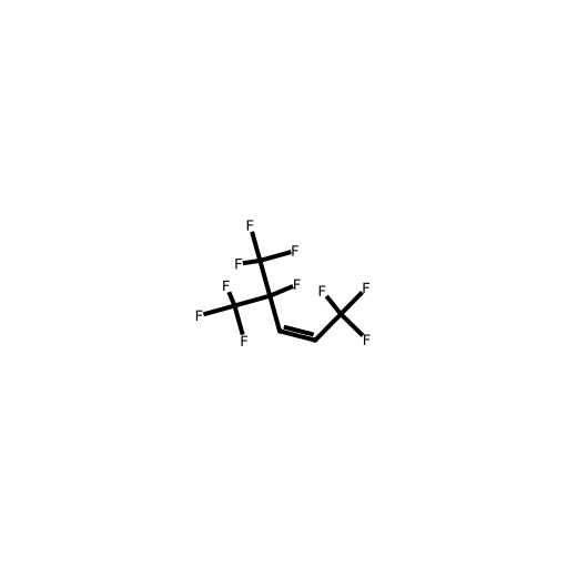 FC(F)(F)/C=C\C(F)(C(F)(F)F)C(F)(F)F